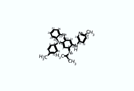 Cc1ccc(-n2c3c/c(=N\C(C)C)c(Nc4ccc(C)nc4)cc-3nc3ccccc32)cc1